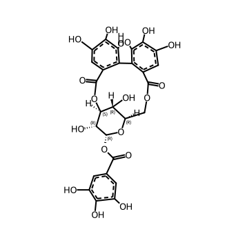 O=C(O[C@H]1O[C@@H]2COC(=O)c3cc(O)c(O)c(O)c3-c3c(cc(O)c(O)c3O)C(=O)O[C@H]([C@H]1O)[C@@H]2O)c1cc(O)c(O)c(O)c1